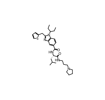 CCC(CC)n1c(Cc2cccs2)nc2cc(C(=O)N[C@@H](CC(C)C)C(=O)NCCCN3CCCC3)ccc21